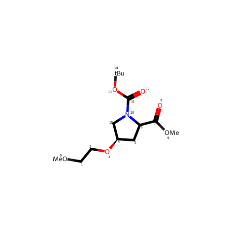 COCCO[C@@H]1CC(C(=O)OC)N(C(=O)OC(C)(C)C)C1